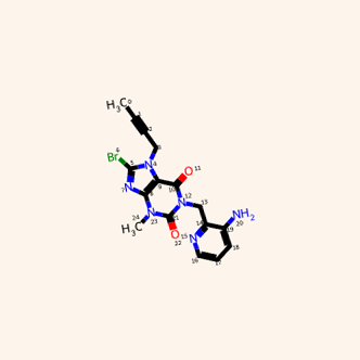 CC#CCn1c(Br)nc2c1c(=O)n(Cc1ncccc1N)c(=O)n2C